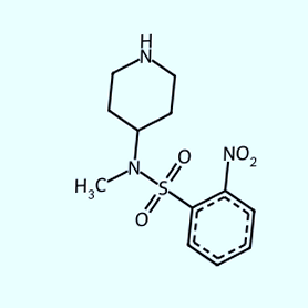 CN(C1CCNCC1)S(=O)(=O)c1ccccc1[N+](=O)[O-]